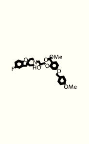 COC(=O)c1ccc(OCc2ccc(OC)cc2)cc1OC[C@@H](O)CN1CCC2(CC1)Cc1cc(F)ccc1O2